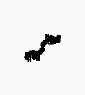 COC(=O)NC(C(=O)N1CCC[C@H]1C(=O)NC1Cc2ccc(-c3ccc4c(c3)CC(NC(=O)[C@@H]3CCCN3C(=O)C(NC(=O)OC)C(C)C)C4)cc2C1)C(C)C